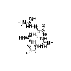 CC(C=NNC(=N)NN=C(C)C=NNC(=N)N)=NNC(=N)N